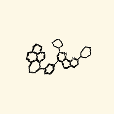 C1=C(c2cccc(-c3cc(C4CCCCC4)nc4c3ccc3ccc(C5CCCCC5)nc34)c2)c2ccc3cccc4ccc(c2c34)=CC1